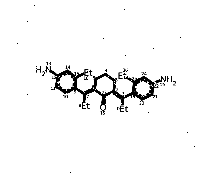 CCC(=C1CCCC(=C(CC)c2ccc(N)cc2CC)C1=O)c1ccc(N)cc1CC